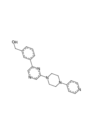 OCc1cccc(-c2cncc(N3CCN(c4ccncc4)CC3)n2)c1